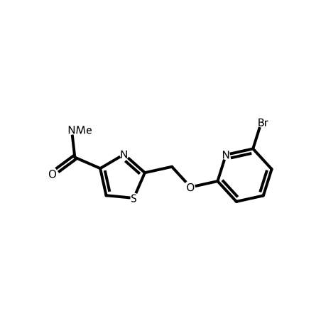 CNC(=O)c1csc(COc2cccc(Br)n2)n1